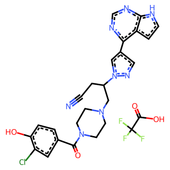 N#CCC(CN1CCN(C(=O)c2ccc(O)c(Cl)c2)CC1)n1cc(-c2ncnc3[nH]ccc23)cn1.O=C(O)C(F)(F)F